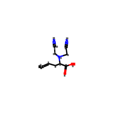 C=CCC(C(=O)O)N(CC#N)CC#N